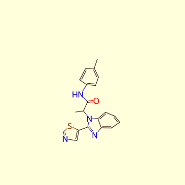 Cc1ccc(NC(=O)C(C)n2c(-c3cncs3)nc3ccccc32)cc1